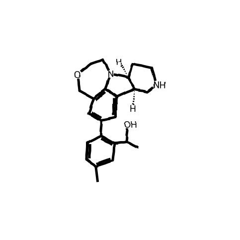 Cc1ccc(-c2cc3c4c(c2)[C@@H]2CNCC[C@@H]2N4CCOC3)c(C(C)O)c1